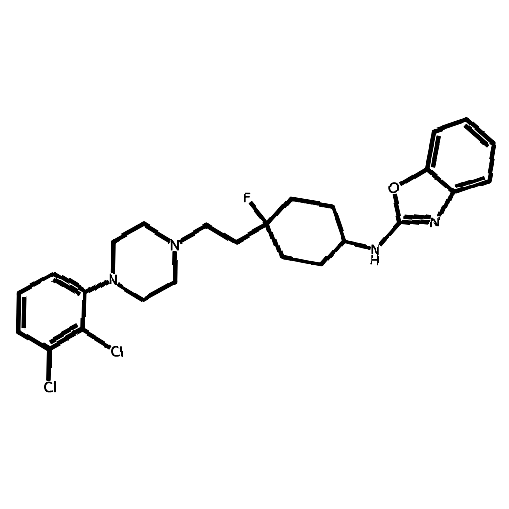 FC1(CCN2CCN(c3cccc(Cl)c3Cl)CC2)CCC(Nc2nc3ccccc3o2)CC1